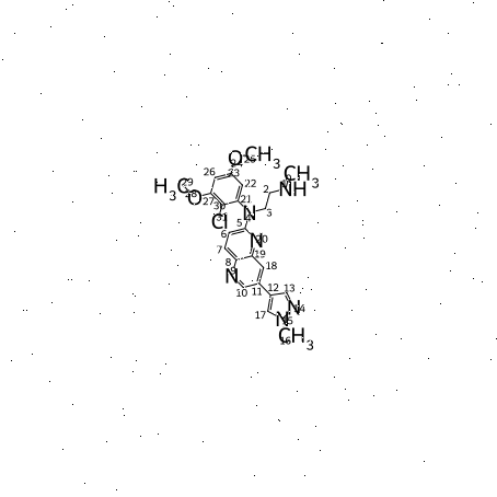 CNCCN(c1ccc2ncc(-c3cnn(C)c3)cc2n1)c1cc(OC)cc(OC)c1Cl